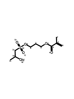 C=C(C)C(=O)OCCCOS(=O)(=O)CC(C)O